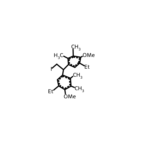 CCc1cc(C(CI)c2cc(CC)c(OC)c(C)c2C)c(C)c(C)c1OC